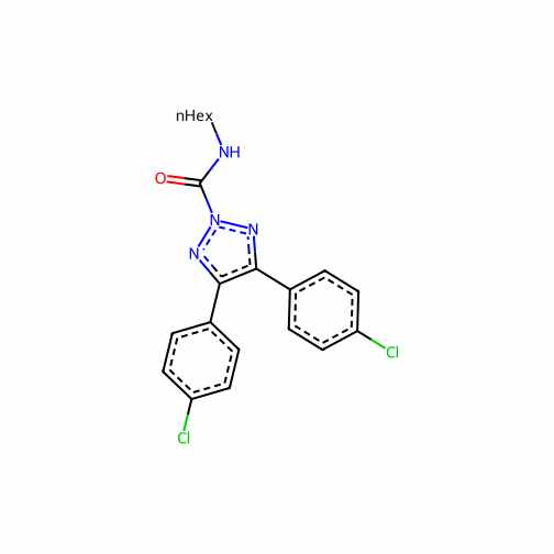 CCCCCCNC(=O)n1nc(-c2ccc(Cl)cc2)c(-c2ccc(Cl)cc2)n1